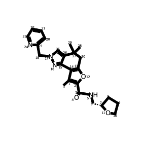 Cc1c(C(=O)NC[C@@H]2CCCO2)oc2c1-c1nn(Cc3ccccn3)cc1C(C)(C)C2